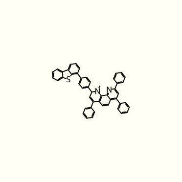 CN1c2c(ccc3c(-c4ccccc4)cc(-c4ccccc4)nc23)C(c2ccccc2)=CC1c1ccc(-c2cccc3c2sc2ccccc23)cc1